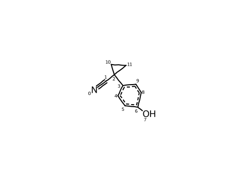 N#CC1(c2ccc(O)cc2)CC1